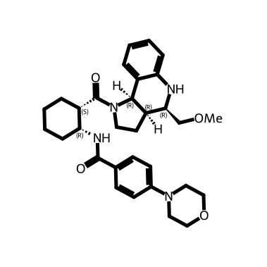 COC[C@@H]1Nc2ccccc2[C@H]2[C@@H]1CCN2C(=O)[C@H]1CCCC[C@H]1NC(=O)c1ccc(N2CCOCC2)cc1